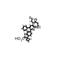 O=C(O)NC1(c2ccc(-c3nc4c(cc3-c3ccccc3)N(CCF)C(=O)CCN4)cc2)CCC1